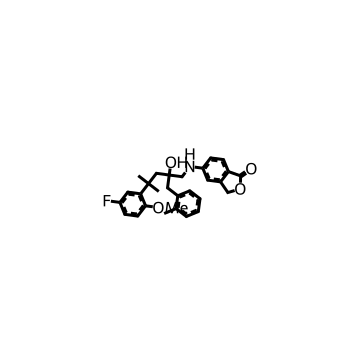 COc1ccc(F)cc1C(C)(C)CC(O)(CNc1ccc2c(c1)COC2=O)Cc1ccccc1C